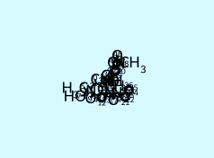 CC1CN(C(C)CO)C(=O)c2cccc(NC(=O)Nc3cccc4ccccc34)c2OC1CN(C)S(=O)(=O)c1ccc2c(c1)oc(=O)n2C